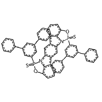 S=P1(c2cc(-c3ccccc3)cc(-c3ccccc3)c2)Oc2cccc3c4cc5c(cc4n1c23)c1cccc2c1n5P(=S)(c1cc(-c3ccccc3)cc(-c3ccccc3)c1)O2